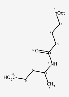 CCCCCCCCCCCC(=O)NC(C)CCC(=O)O